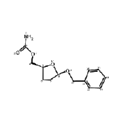 NC(=O)OC[C@@H]1CC[C@H](OCc2ccccc2)O1